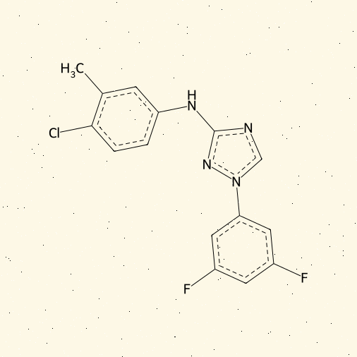 Cc1cc(Nc2ncn(-c3cc(F)cc(F)c3)n2)ccc1Cl